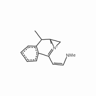 CN/C=C\C1=[N+]2CC2(C)C(C)c2ccccc21